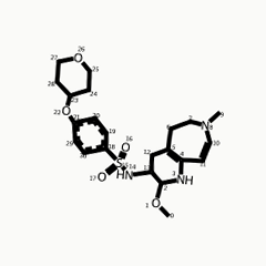 COC1NC2=C(CCN(C)C=C2)CC1NS(=O)(=O)c1ccc(OC2CCOCC2)cc1